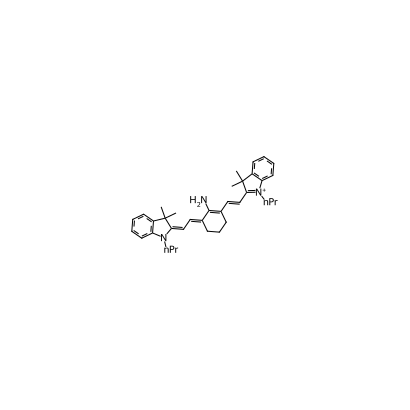 CCCN1/C(=C/C=C2\CCCC(/C=C/C3=[N+](CCC)c4ccccc4C3(C)C)=C2N)C(C)(C)c2ccccc21